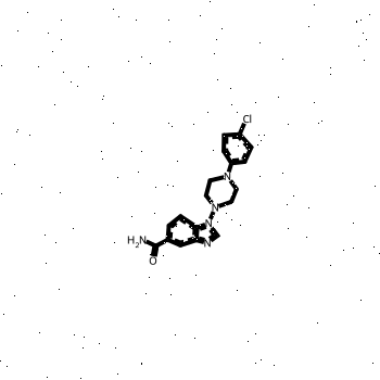 NC(=O)c1ccc2c(c1)ncn2N1CCN(c2ccc(Cl)cc2)CC1